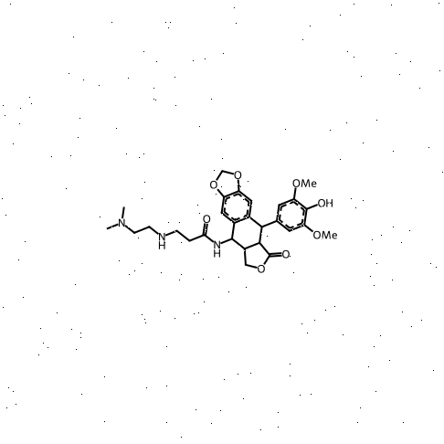 COc1cc(C2c3cc4c(cc3C(NC(=O)CCNCCN(C)C)C3COC(=O)C23)OCO4)cc(OC)c1O